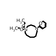 CCO[Si]1(OCC)CCCCCCN(C2=CC=CCO2)CCC1